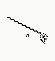 CCCCCCCCCCCCCCCCCC[N+](C)(C)C(OC)(OC)C(C)OC.[Cl-]